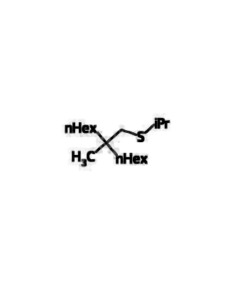 CCCCCCC(C)(CCCCCC)CSC(C)C